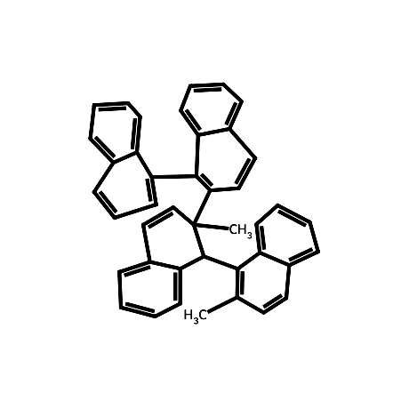 Cc1ccc2ccccc2c1C1c2ccccc2C=CC1(C)c1ccc2ccccc2c1-c1cccc2ccccc12